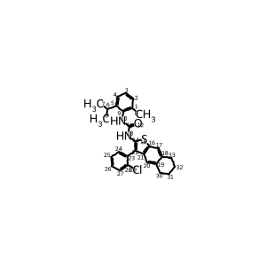 Cc1cccc(C(C)C)c1NC(=O)Nc1sc2cc3c(cc2c1-c1ccccc1Cl)CCCC3